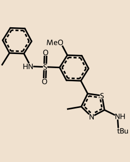 COc1ccc(-c2sc(NC(C)(C)C)nc2C)cc1S(=O)(=O)Nc1ccccc1C